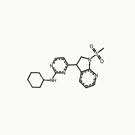 CS(=O)(=O)N1CC(c2ccnc(NC3CCCCC3)n2)c2cccnc21